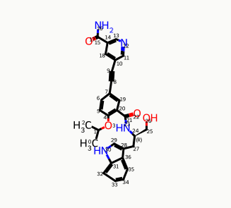 CC(C)Oc1ccc(C#Cc2cncc(C(N)=O)c2)cc1C(=O)N[C@@H](CO)Cc1c[nH]c2ccccc12